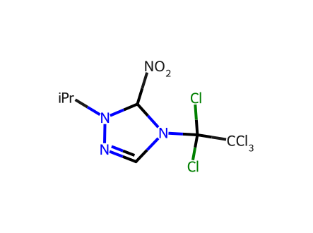 CC(C)N1N=CN(C(Cl)(Cl)C(Cl)(Cl)Cl)C1[N+](=O)[O-]